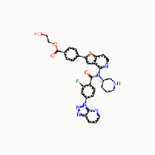 O=C(OCCO)c1ccc(-c2cc3c(N(C(=O)c4ccc(-n5nnc6cccnc65)cc4F)[C@@H]4CCCNC4)nccc3s2)cc1